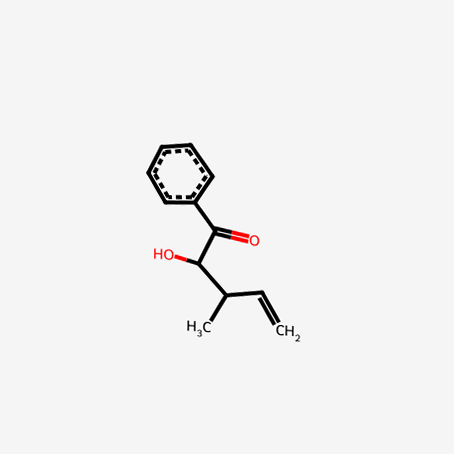 C=CC(C)C(O)C(=O)c1ccccc1